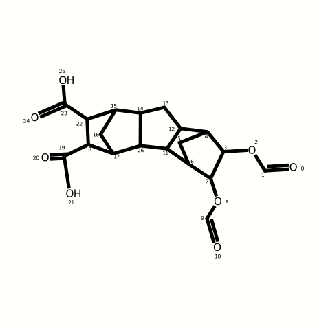 O=COC1C2CC(C1OC=O)C1C2CC2C3CC(C(C(=O)O)C3C(=O)O)C21